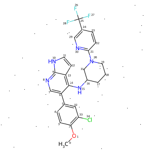 COc1ccc(-c2cnc3[nH]ccc3c2NC2CCCN(c3ccc(C(F)(F)F)cn3)C2)cc1Cl